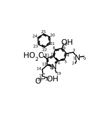 CN(C)Cc1cc2c(cc1O)c(C(=O)O)c(CS(=O)O)n2C.c1ccccc1